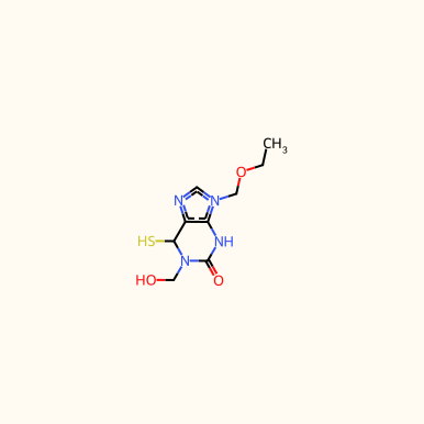 CCOCn1cnc2c1NC(=O)N(CO)C2S